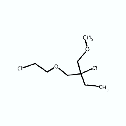 CCC(Cl)(COC)COCCCl